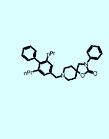 CCCc1cc(CN2CCC3(CC2)CN(c2ccccc2)C(=O)O3)cc(CCC)c1-c1ccccc1